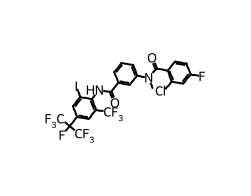 CN(C(=O)c1ccc(F)cc1Cl)c1cccc(C(=O)Nc2c(I)cc(C(F)(C(F)(F)F)C(F)(F)F)cc2C(F)(F)F)c1